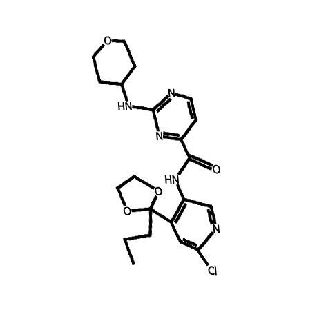 CCCC1(c2cc(Cl)ncc2NC(=O)c2ccnc(NC3CCOCC3)n2)OCCO1